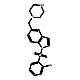 O=S(=O)(c1ccccc1Br)n1ccc2cc(CN3CCNCC3)ccc21